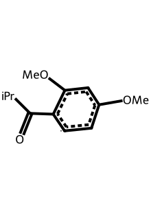 COc1c[c]c(C(=O)C(C)C)c(OC)c1